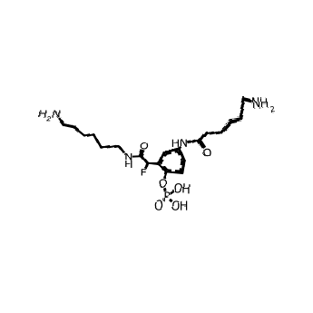 NCCCCCCNC(=O)C(F)c1cc(NC(=O)CCCCCN)ccc1OP(=O)(O)O